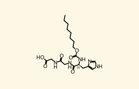 CCCCCCCCOC(=O)N[C@@H](Cc1c[nH]cn1)C(=O)NCC(=O)NCC(=O)O